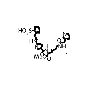 COC(=O)C(CCCCNC(=O)Cc1cccnc1)NC(=O)c1ccc(NN=Cc2ccccc2S(=O)(=O)O)nc1